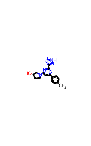 O[C@H]1CCN(c2cc(-c3ccc(C(F)(F)F)cc3)nc(-c3nn[nH]n3)n2)C1